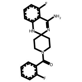 NC1=NC2(CCN(C(=O)c3ccccc3F)CC2)Nc2cccc(F)c21